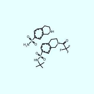 CC(C)(C)NS(=O)(=O)c1ccc2c(c1)CN(C(=O)C(F)(F)F)CC2.NS(=O)(=O)c1ccc2c(c1)CNCC2